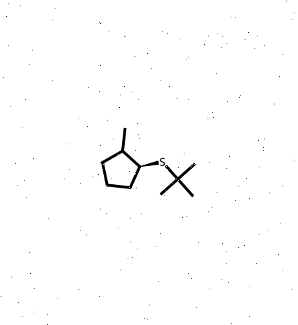 CC1CCC[C@@H]1SC(C)(C)C